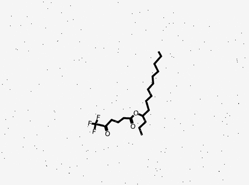 CCCCCCCCCCC(CCC)OC(=O)CCCC(=O)C(F)(F)F